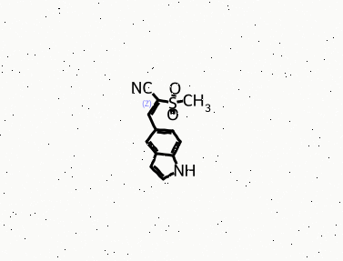 CS(=O)(=O)/C(C#N)=C\c1ccc2[nH]ccc2c1